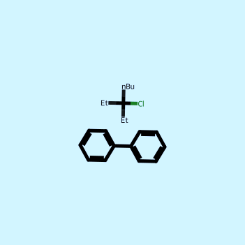 CCCCC(Cl)(CC)CC.c1ccc(-c2ccccc2)cc1